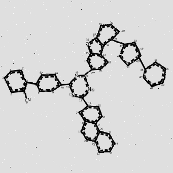 N#Cc1ccccc1-c1ccc(-c2nc(-c3ccc4c(ccc5ccccc54)c3)nc(-c3ccc4c(c3)oc3cccc(-c5ccc(-c6ccccc6)cc5)c34)n2)cc1